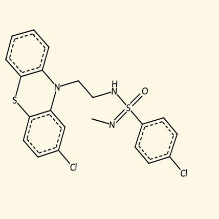 CN=S(=O)(NCCN1c2ccccc2Sc2ccc(Cl)cc21)c1ccc(Cl)cc1